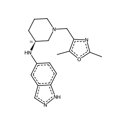 Cc1nc(CN2CCC[C@H](Nc3ccc4[nH]ncc4c3)C2)c(C)o1